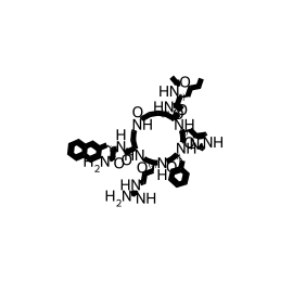 CCCC[C@H](NC(C)=O)C(=O)N[C@H]1CCC(=O)NCCC(C(=O)N[C@@H](Cc2ccc3ccccc3c2)C(N)=O)NC(=O)[C@H](CCCNC(=N)N)NC(=O)[C@@H](Cc2ccccc2)NC(=O)[C@H](Cc2c[nH]cn2)NC1=O